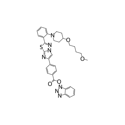 COCCCCOC1CCN(c2ccccc2-c2nn3cc(-c4ccc(C(=O)On5nnc6ccccc65)cc4)nc3s2)CC1